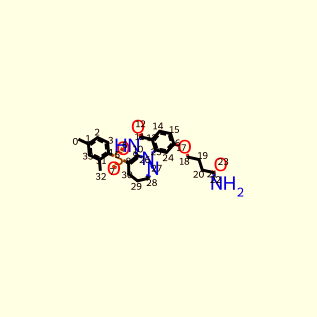 Cc1ccc(S(=O)(=O)C2=C3NC(=O)c4ccc(OCCCC(N)=O)cc4N3N=CCC2)c(C)c1